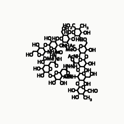 CO[C@@H]1OC(CO)[C@@H](O)[C@H](OC2OC(C(=O)NNC(=O)CC3O[C@H](O[C@H]4OC(CC(=O)NNC(=O)C5O[C@@H](O[C@@H]6C(NC(C)=O)[C@H](OC)OC(CO)[C@H]6O)C(O)[C@@H](O)[C@@H]5O[C@@H]5OC(CO)[C@@H](O)[C@H](O[C@@H]6OC(C(=O)O)[C@@H](C)[C@H](O)C6O)C5NC(C)=O)[C@@H](O)[C@H](O)C4O)C(O)[C@@H](O)[C@@H]3O)[C@@H](O[C@@H]3OC(CO)[C@@H](O)[C@H](O[C@@H]4OC(C=O)[C@@H](C)[C@H](O)C4O)C3NC(C)=O)[C@H](O)[C@@H]2O)C1NC(C)=O